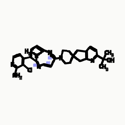 CN1C2=CC=C(c3ccnc(N)c3Cl)/C1=N/C=C/C(N1CCC3(CC1)Cc1ccc(C(C)(C)O)nc1C3)=N\2